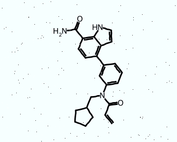 C=CC(=O)N(CC1CCCC1)c1cccc(-c2ccc(C(N)=O)c3[nH]ccc23)c1